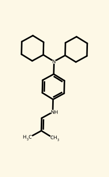 CC(C)=CNc1ccc(N(C2CCCCC2)C2CCCCC2)cc1